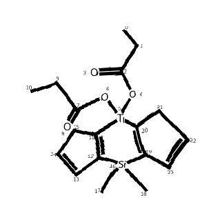 CCC(=O)[O][Ti]1([O]C(=O)CC)[C]2=C(C=CC2)[Si](C)(C)C2=[C]1CC=C2